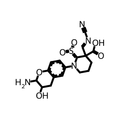 N#CN=CC1(C(=O)O)CCCN(c2ccc3c(c2)CC(O)C(N)O3)C1=S(=O)=O